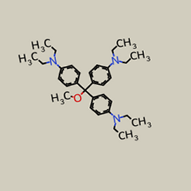 CCN(CC)c1ccc(C(OC)(c2ccc(N(CC)CC)cc2)c2ccc(N(CC)CC)cc2)cc1